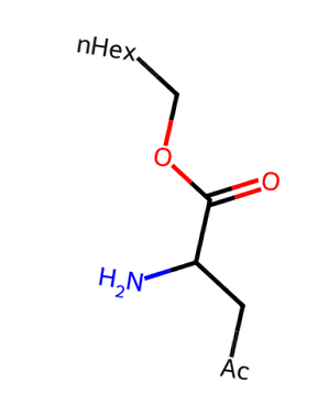 CCCCCCCOC(=O)C(N)CC(C)=O